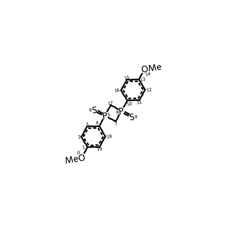 COc1ccc(P2(=S)CP(=S)(c3ccc(OC)cc3)C2)cc1